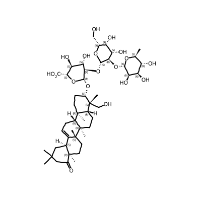 C[C@@H]1O[C@@H](O[C@H]2[C@H](O[C@H]3[C@H](O[C@H]4CC[C@@]5(C)[C@@H](CC[C@]6(C)[C@@H]5CC=C5[C@@H]7CC(C)(C)CC(=O)[C@]7(C)CC[C@]56C)[C@@]4(C)CO)O[C@H](C(=O)O)[C@@H](O)[C@@H]3O)O[C@H](CO)[C@H](O)[C@@H]2O)[C@H](O)[C@H](O)[C@H]1O